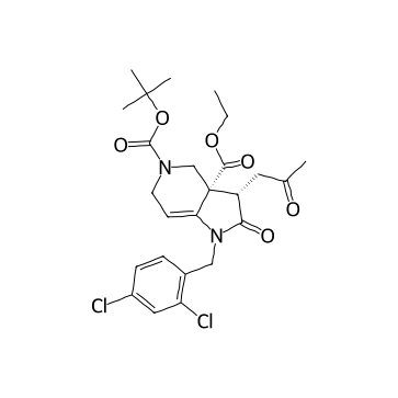 CCOC(=O)[C@@]12CN(C(=O)OC(C)(C)C)CC=C1N(Cc1ccc(Cl)cc1Cl)C(=O)[C@H]2CC(C)=O